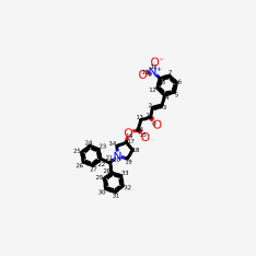 O=C(C=Cc1cccc([N+](=O)[O-])c1)CC(=O)OC1CCN(C(c2ccccc2)c2ccccc2)C1